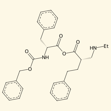 CCNC[C@H](CCc1ccccc1)C(=O)OC(=O)[C@@H](Cc1ccccc1)NC(=O)OCc1ccccc1